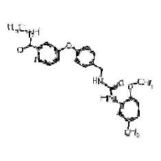 CNC(=O)c1cc(Oc2ccc(CNC(=O)Nc3cc(C)ccc3OC)cc2)ccn1